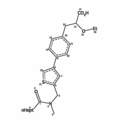 CCCCCCCC(=O)N(C)Cc1cc(-c2ccc(CC(OCC)C(=O)O)cc2)cs1